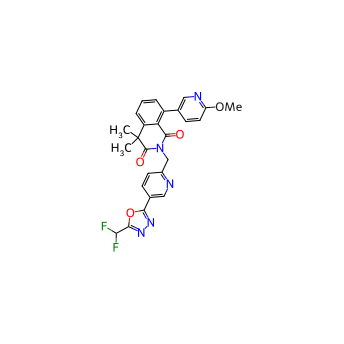 COc1ccc(-c2cccc3c2C(=O)N(Cc2ccc(-c4nnc(C(F)F)o4)cn2)C(=O)C3(C)C)cn1